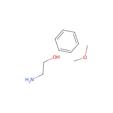 COC.NCCO.c1ccccc1